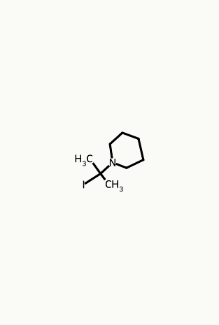 CC(C)(I)N1CCCCC1